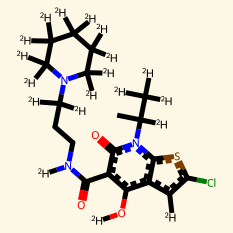 [2H]Oc1c(C(=O)N([2H])CCC([2H])([2H])N2C([2H])([2H])C([2H])([2H])C([2H])([2H])C([2H])([2H])C2([2H])[2H])c(=O)n(C([2H])(C)C([2H])([2H])[2H])c2sc(Cl)c([2H])c12